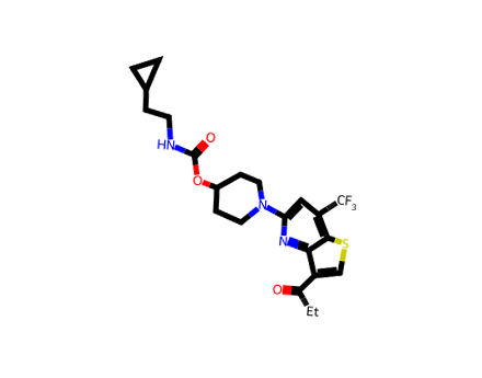 CCC(=O)c1csc2c(C(F)(F)F)cc(N3CCC(OC(=O)NCCC4CC4)CC3)nc12